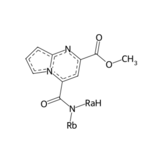 COC(=O)c1cc(C(=O)[N]([Rb])[RaH])n2cccc2n1